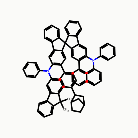 CC1(C)c2ccccc2-c2cc(N(c3ccccc3)c3cc4c(cc3-c3ccc(C5CC6CCC5C6)cc3)C3(c5ccccc5-c5cc(N(c6ccccc6)c6ccccc6)c(-c6ccccc6)cc53)c3ccccc3-4)ccc21